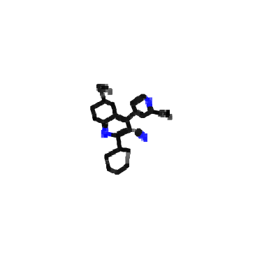 Cc1cc(-c2c(C#N)c(C3CCCCC3)nc3c2CC(C)CC3)ccn1